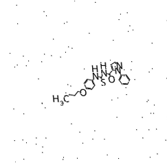 CCCCOc1ccc(NC(=S)NC(=O)c2ccnn2-c2ccccc2)cc1